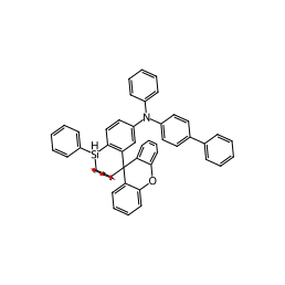 c1ccc(-c2ccc(N(c3ccccc3)c3ccc4c(c3)C3(c5ccccc5Oc5ccccc53)c3ccccc3[SiH]4c3ccccc3)cc2)cc1